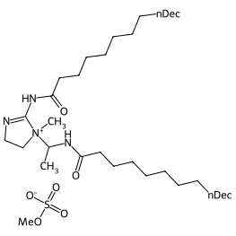 CCCCCCCCCCCCCCCCCC(=O)NC1=NCC[N+]1(C)C(C)NC(=O)CCCCCCCCCCCCCCCCC.COS(=O)(=O)[O-]